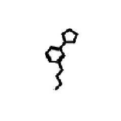 [CH2]CCCc1cccc(C2CCCC2)c1